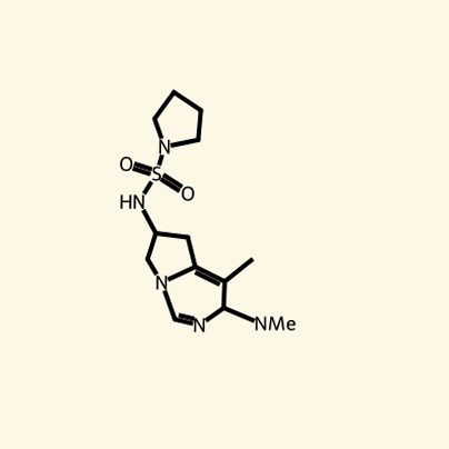 CNC1N=CN2CC(NS(=O)(=O)N3CCCC3)CC2=C1C